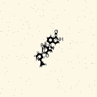 O=C=C1NC=Cc2c1cccc2-n1ncc(C(=O)Nc2ccnc(C3CC3)c2)c1C(F)(F)F